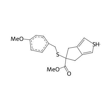 COC(=O)C1(SCc2ccc(OC)cc2)CC2=C[SH]C=C2C1